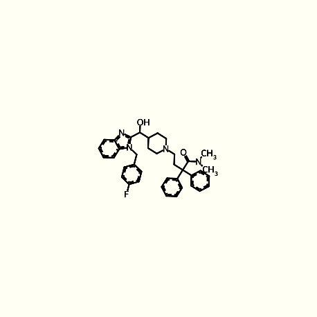 CN(C)C(=O)C(CCN1CCC(C(O)c2nc3ccccc3n2Cc2ccc(F)cc2)CC1)(c1ccccc1)c1ccccc1